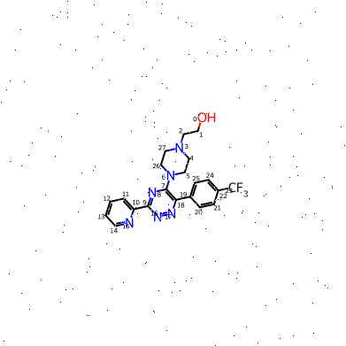 OCCN1CCN(c2nc(-c3ccccn3)nnc2-c2ccc(C(F)(F)F)cc2)CC1